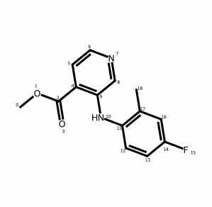 COC(=O)c1ccncc1Nc1ccc(F)cc1C